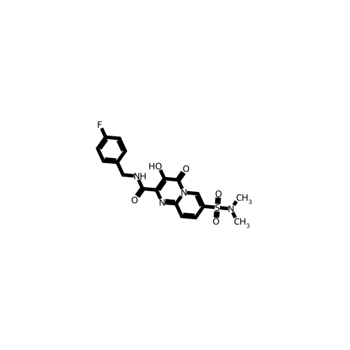 CN(C)S(=O)(=O)c1ccc2nc(C(=O)NCc3ccc(F)cc3)c(O)c(=O)n2c1